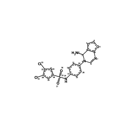 NC1c2ccoc2N=CN1c1ccc(NS(=O)(=O)c2cc(Cl)c(Cl)s2)cc1